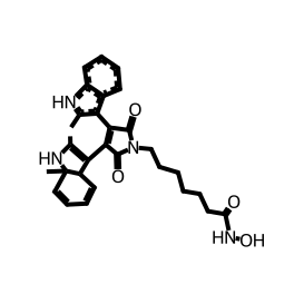 CC1=C(C2=C(c3c(C)[nH]c4ccccc34)C(=O)N(CCCCCCC(=O)NO)C2=O)C2C=CC=CC2(C)N1